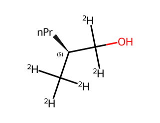 [2H]C([2H])([2H])[C@@H](CCC)C([2H])([2H])O